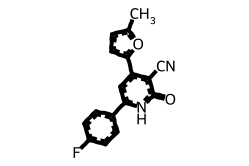 Cc1ccc(-c2cc(-c3ccc(F)cc3)[nH]c(=O)c2C#N)o1